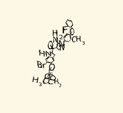 Cc1cc(-n2ncc(C(=O)c3cc4cc(OC[C@H]5COC(C)(C)O5)c(Br)cc4[nH]3)c2N)ccc1Oc1ccccc1F